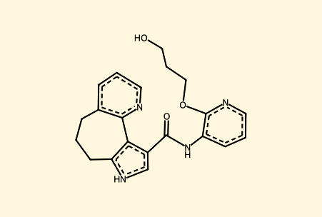 O=C(Nc1cccnc1OCCCO)c1c[nH]c2c1-c1ncccc1CCC2